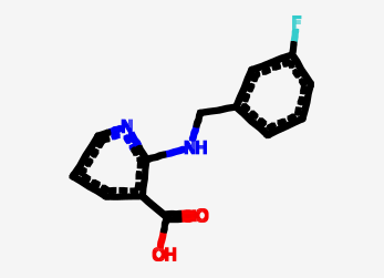 O=C(O)c1cccnc1NCc1cccc(F)c1